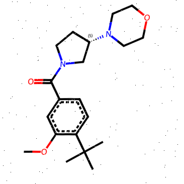 COc1cc(C(=O)N2CC[C@H](N3CCOCC3)C2)ccc1C(C)(C)C